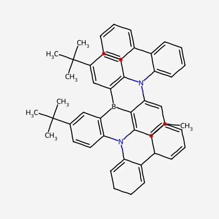 Cc1cc2c3c(c1)N(c1ccccc1-c1ccccc1)c1ccc(C(C)(C)C)cc1B3c1cc(C(C)(C)C)ccc1N2C1=CCCC=C1C1C=CC=CC1